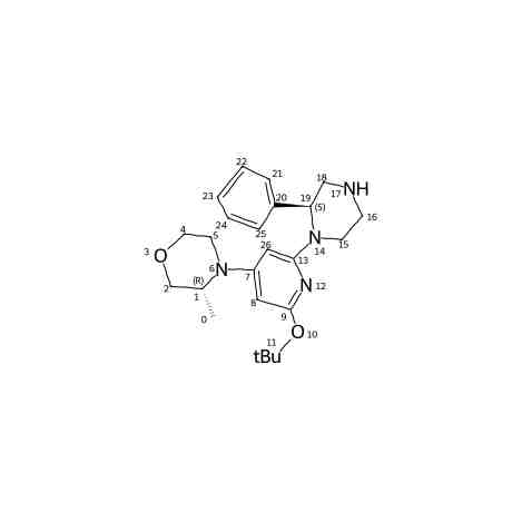 C[C@@H]1COCCN1c1cc(OC(C)(C)C)nc(N2CCNC[C@@H]2c2ccccc2)c1